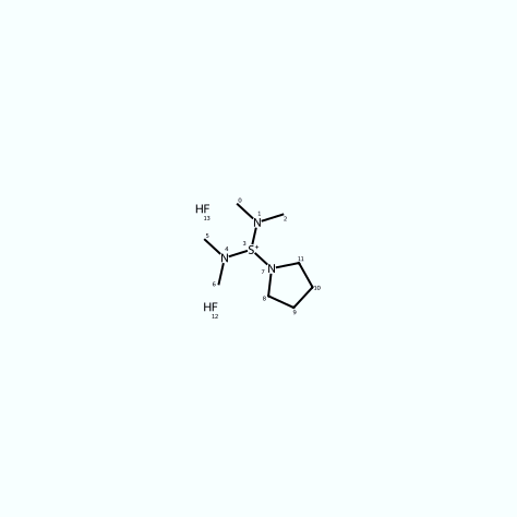 CN(C)[S+](N(C)C)N1CCCC1.F.F